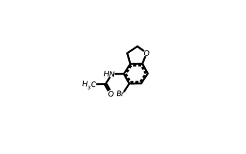 CC(=O)Nc1c(Br)ccc2c1CCO2